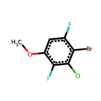 COc1cc(F)c(Br)c(Cl)c1F